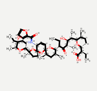 CCC(C(=O)[C@@H](C)[C@@H](O)[C@H](C)[C@@H]1O[C@@H]([C@@H](CC)C(=O)O)CC[C@@H]1C)[C@H]1O[C@]2(C=C[C@@H](NC(=O)c3ccco3)[C@]3(CC[C@@](C)([C@H]4CC[C@](O)(CC)[C@H](C)O4)O3)O2)[C@H](C)C[C@@H]1C